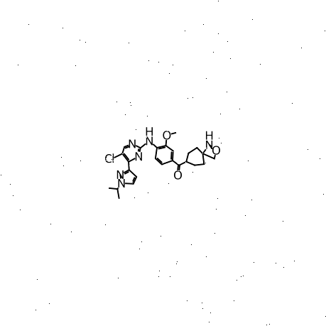 COc1cc(C(=O)C2CCC3(CC2)CON3)ccc1Nc1ncc(Cl)c(-c2ccn(C(C)C)n2)n1